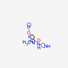 Cn1nc(C(=O)NC2CCNCC2)c2ccc(OCCN3CCCC3)nc21